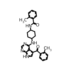 Cc1ccccc1C(=O)NC1CCC(Nc2ncnc3[nH]cc(C(=O)c4ccccc4C)c23)CC1